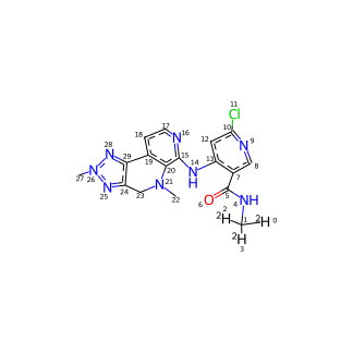 [2H]C([2H])([2H])NC(=O)c1cnc(Cl)cc1Nc1nccc2c1N(C)Cc1nn(C)nc1-2